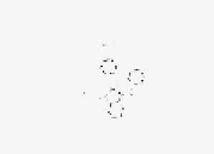 CC(C)Oc1ccc(Nc2nc(OCCO)c3ccccc3c2C(=O)c2ccc(Cl)cc2)cc1F